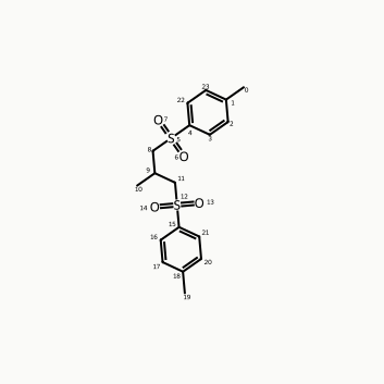 Cc1ccc(S(=O)(=O)CC(C)CS(=O)(=O)c2ccc(C)cc2)cc1